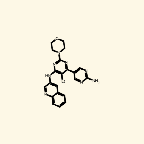 CCc1c(Nc2cnc3ccccc3c2)nc(N2CCOCC2)nc1-c1cnc(N)nc1